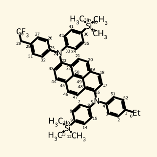 CCc1ccc(N(c2ccc([Si](C)(C)C)cc2)c2ccc3ccc4c(N(c5ccc(CC(F)(F)F)cc5)c5ccc([Si](C)(C)C)cc5)ccc5ccc2c3c54)cc1